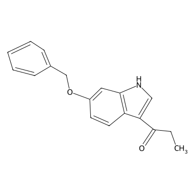 CCC(=O)c1c[nH]c2cc(OCc3ccccc3)ccc12